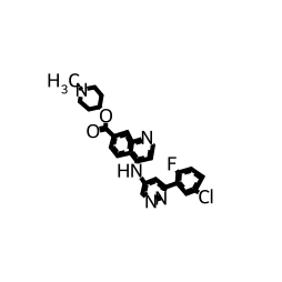 CN1CCC(OC(=O)c2ccc3c(Nc4cnnc(-c5cc(Cl)ccc5F)c4)ccnc3c2)CC1